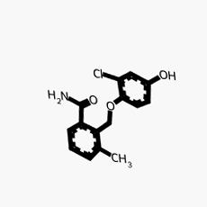 Cc1cccc(C(N)=O)c1COc1ccc(O)cc1Cl